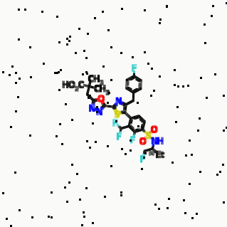 CC[C@@H](CF)NS(=O)(=O)c1ccc(-c2sc(-c3nnc(CC(C)(C)C(=O)O)o3)nc2Cc2ccc(F)cc2)c(C(F)F)c1F